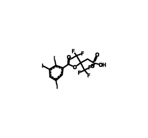 O=C(OC(CS(=O)(=O)O)(C(F)(F)F)C(F)(F)F)c1cc(I)cc(I)c1I